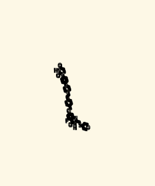 O=C1CCN(c2ccc(N3CCN(CCN4CCC(COc5cc(F)c6c(=O)[nH]c(CSC7CCOCC7)nc6c5)CC4)CC3)cc2)C(=O)N1